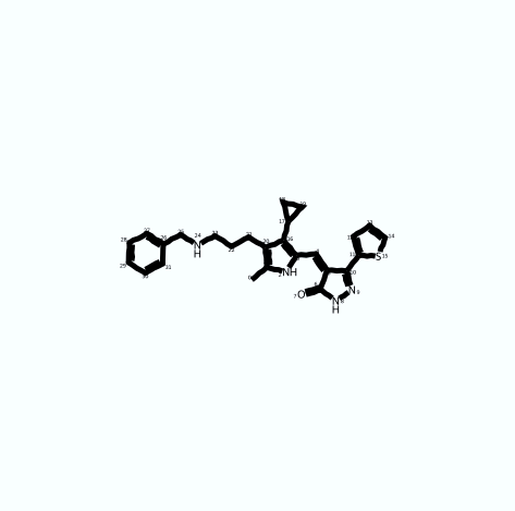 Cc1[nH]c(C=C2C(=O)NN=C2c2cccs2)c(C2CC2)c1CCCNCc1ccccc1